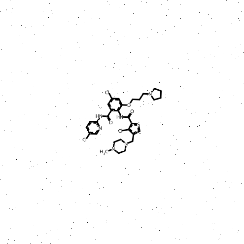 CN1CCN(Cc2csc(C(=O)Nc3c(OCCCN4CCCC4)cc(Cl)cc3C(=O)Nc3ccc(Cl)cn3)c2Cl)CC1